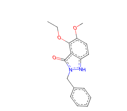 CCOc1c(OC)ccc2[nH]n(Cc3ccccc3)c(=O)c12